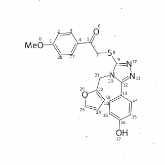 COc1ccc(C(=O)CSc2nnc(-c3ccc(O)cc3)n2Cc2ccco2)cc1